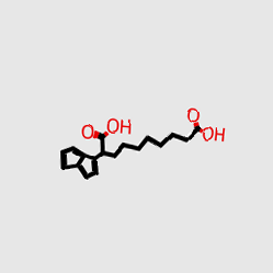 O=C(O)CCCCCCCC(C(=O)O)C1=CC=C2C=CC=C21